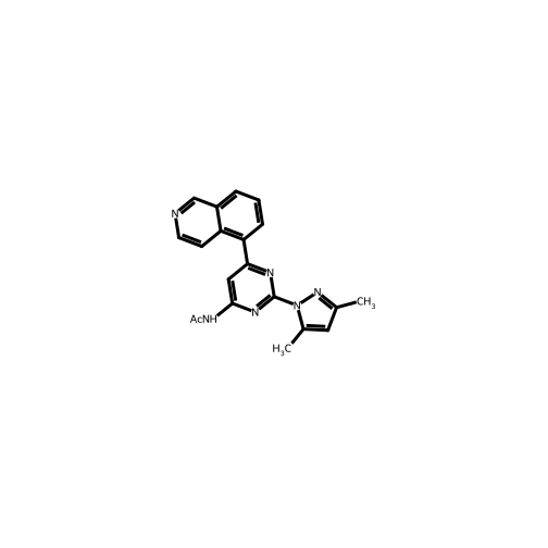 CC(=O)Nc1cc(-c2cccc3cnccc23)nc(-n2nc(C)cc2C)n1